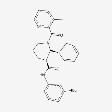 Cc1cccnc1C(=O)N1CCC[C@H](C(=O)Nc2cccc(C(C)(C)C)c2)C1[C@@H]1C=CC=CC1